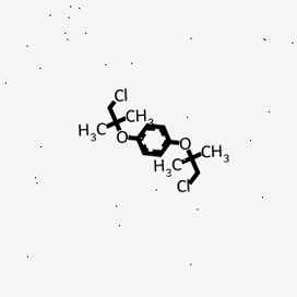 CC(C)(CCl)Oc1ccc(OC(C)(C)CCl)cc1